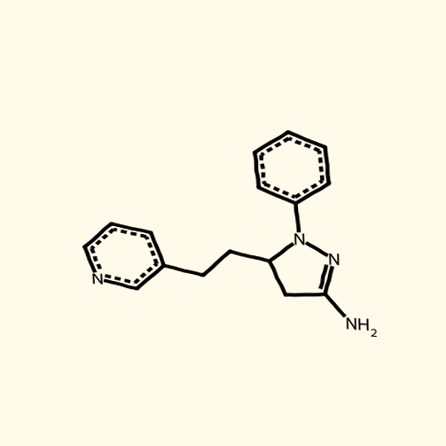 NC1=NN(c2ccccc2)C(CCc2cccnc2)C1